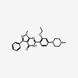 CCOc1cc(N2CCN(C)CC2)ccc1-c1nc2c(c(-c3ccccc3)nn2C)c(=O)[nH]1